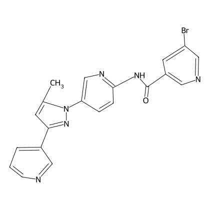 Cc1cc(-c2cccnc2)nn1-c1ccc(NC(=O)c2cncc(Br)c2)nc1